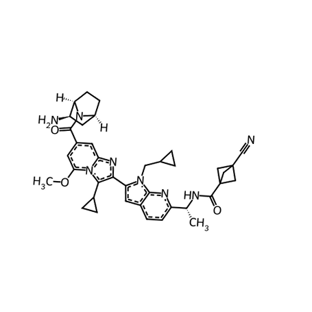 COc1cc(C(=O)N2[C@H]3CC[C@@H]2[C@H](N)C3)cc2nc(-c3cc4ccc([C@@H](C)NC(=O)C56CC(C#N)(C5)C6)nc4n3CC3CC3)c(C3CC3)n12